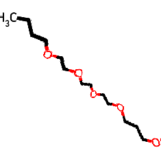 CCCCOCCOCCOCCOCCCO